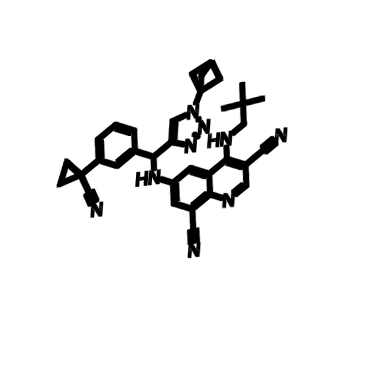 CC(C)(C)CNc1c(C#N)cnc2c(C#N)cc(NC(c3cccc(C4(C#N)CC4)c3)c3cn(C45CC(C4)C5)nn3)cc12